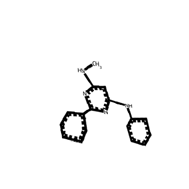 CNc1cc(Nc2ccccc2)nc(-c2ccccc2)n1